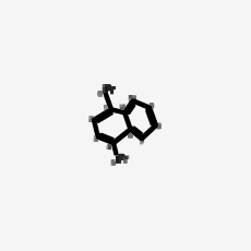 CC(C)c1ccc(C(C)C)c2cc[c]cc12